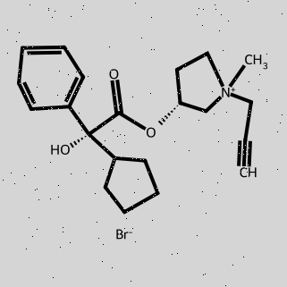 C#CC[N+]1(C)CC[C@@H](OC(=O)[C@](O)(c2ccccc2)C2CCCC2)C1.[Br-]